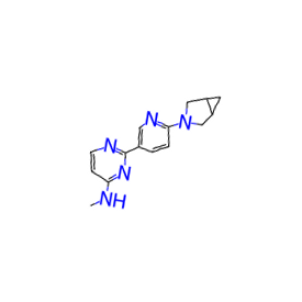 CNc1ccnc(-c2ccc(N3CC4CC4C3)nc2)n1